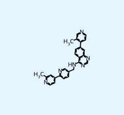 Cc1cc(-c2ccc(CNc3ncnc4cc(-c5ccncc5C)ccc34)cn2)ccn1